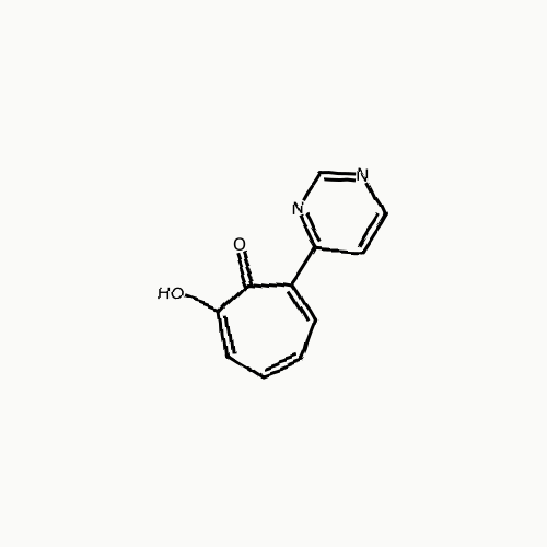 O=c1c(O)ccccc1-c1ccncn1